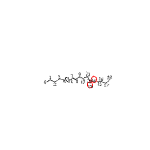 CCCCCCCC=CCCCC(=O)OCCCC